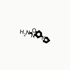 Nc1nc2cc(-n3cccc3)ccc2o1